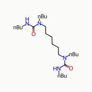 CCCCNC(=O)N(CCCC)CCCCCCN(CCCC)C(=O)NCCCC